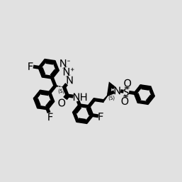 [N-]=[N+]=N[C@H](C(=O)Nc1cccc(F)c1CC[C@H]1CN1S(=O)(=O)c1ccccc1)C(c1cccc(F)c1)c1cccc(F)c1